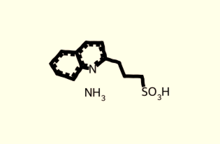 N.O=S(=O)(O)CCCc1ccc2ccccc2n1